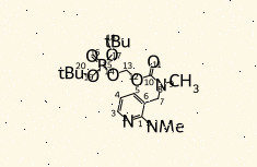 CNc1ncccc1CN(C)C(=O)OCOP(=O)(OC(C)(C)C)OC(C)(C)C